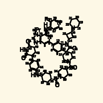 CC(C)n1cnc2cc(-c3ccc4c(c3)N([C@H]3C[C@@H](N5CCCCC5)C3)C(=O)C43CCN(C(=O)C4CCN(C(=O)[C@H]5CC[C@H](Nc6ccc(C7CCC(=O)NC7=O)cc6)CC5)CC4)CC3)nc(Nc3ccncc3F)c21